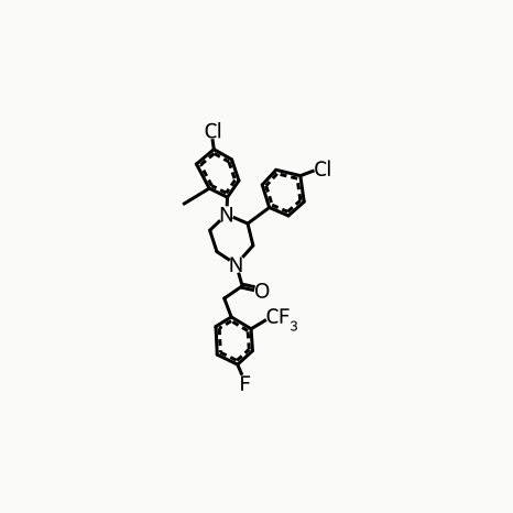 Cc1cc(Cl)ccc1N1CCN(C(=O)Cc2ccc(F)cc2C(F)(F)F)CC1c1ccc(Cl)cc1